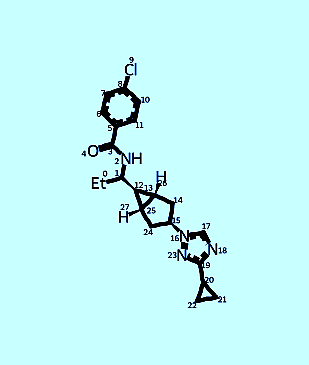 CCC(NC(=O)c1ccc(Cl)cc1)[C@H]1[C@@H]2C[C@@H](n3cnc(C4CC4)n3)C[C@@H]21